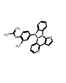 C=C(C)Sc1ccc(N2B3c4cccnc4-c4ccoc4N3c3ccccc32)cc1C